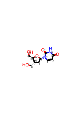 O=c1ccn([C@H]2C[C@H](CO)[C@@H](CO)O2)c(=O)[nH]1